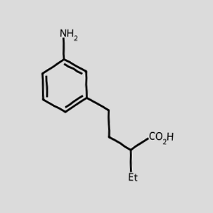 CCC(CCc1cccc(N)c1)C(=O)O